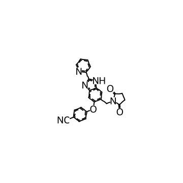 N#Cc1ccc(Oc2cc3nc(-c4ccccn4)[nH]c3cc2CN2C(=O)CCC2=O)cc1